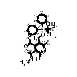 CC(=O)c1c(CO[Si](c2ccccc2)(c2ccccc2)C(C)(C)C)c(F)nc(F)c1C(=O)NN